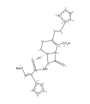 CO/N=C(\C(=O)NC1C(=O)N2C(C(=O)O)=C(CSc3ncns3)CS[C@H]12)c1cscn1